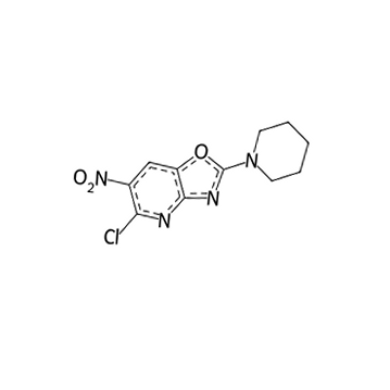 O=[N+]([O-])c1cc2oc(N3CCCCC3)nc2nc1Cl